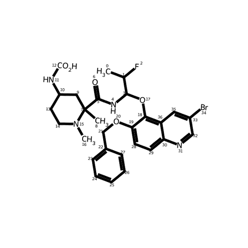 CC(F)C(NC(=O)C1(C)CC(NC(=O)O)CCN1C)Oc1c(OCc2ccccc2)ccc2ncc(Br)cc12